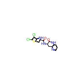 O=C(NC1Cc2ncccc2NC1=O)c1cc2sc(Cl)c(Cl)c2[nH]1